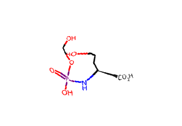 O=C(O)[C@H](CO)NP(=O)(O)OCO